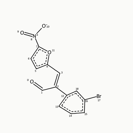 O=CC(=Cc1ccc([N+](=O)[O-])o1)c1cccc(Br)c1